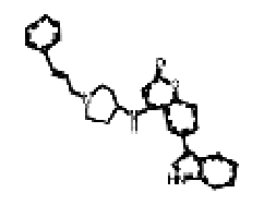 O=c1cc(NC2CCN(CC=Cc3ccccc3)CC2)c2cc(-c3c[nH]c4ccccc34)ccc2o1